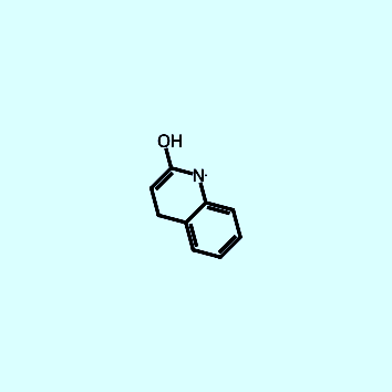 OC1=CCc2ccccc2[N]1